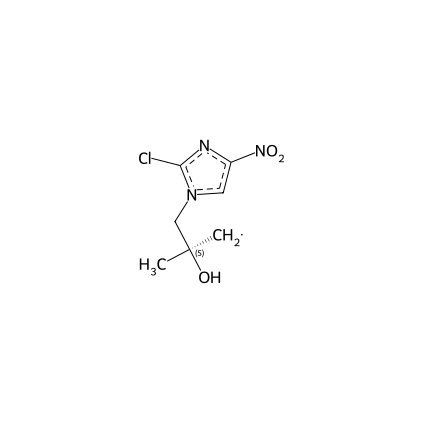 [CH2][C@@](C)(O)Cn1cc([N+](=O)[O-])nc1Cl